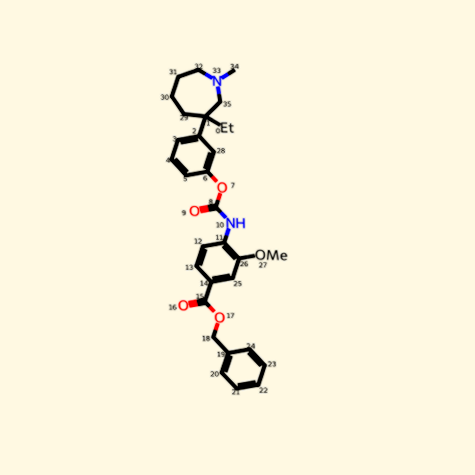 CCC1(c2cccc(OC(=O)Nc3ccc(C(=O)OCc4ccccc4)cc3OC)c2)CCCCN(C)C1